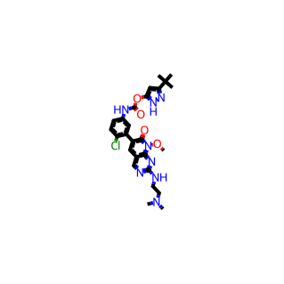 COn1c(=O)c(-c2cc(NC(=O)Oc3cc(C(C)(C)C)n[nH]3)ccc2Cl)cc2cnc(NCCN(C)C)nc21